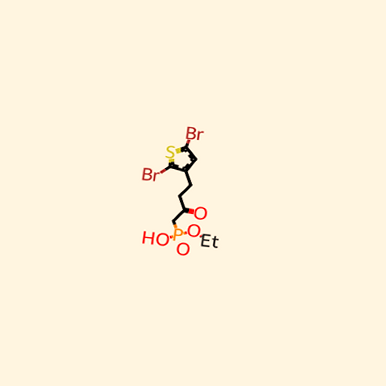 CCOP(=O)(O)CC(=O)CCc1cc(Br)sc1Br